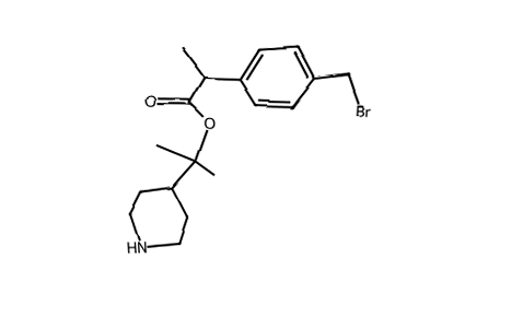 CC(C(=O)OC(C)(C)C1CCNCC1)c1ccc(CBr)cc1